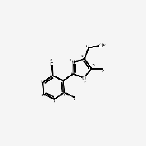 Cc1cccc(Cl)c1-c1nc(CCl)c(C)o1